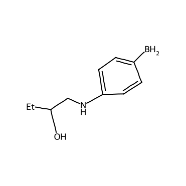 Bc1ccc(NCC(O)CC)cc1